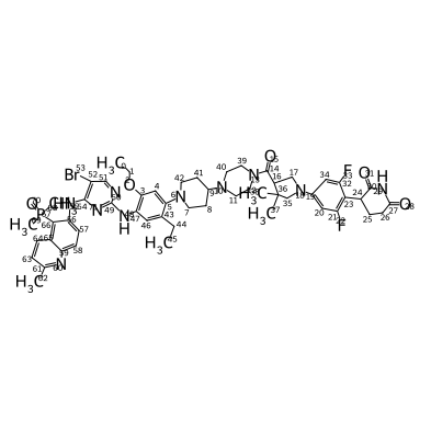 CCOc1cc(N2CCC(N3CCN(C(=O)C4CN(c5cc(F)c(C6CCC(=O)NC6=O)c(F)c5)CC4(C)C)CC3)CC2)c(CC)cc1Nc1ncc(Br)c(Nc2ccc3nc(C)ccc3c2P(C)(C)=O)n1